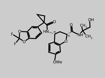 COc1ccc2c(c1)O[C@@H](C(=O)NC(C)(C)CO)C[C@H]2NC(=O)C1(c2ccc3c(c2)OC(F)(F)O3)CC1